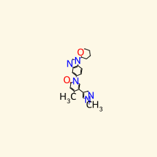 Cc1cc(=O)n(-c2ccc3c(c2)ncn3C2CCCCO2)cc1-c1cnn(C)c1